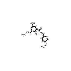 COCc1cc(O)cc(C(=O)/C=C/c2ccc(OC)cc2)c1Cl